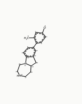 Cc1cc(Cl)ccc1-c1ccc2c(c1)CC1CCNCCN21